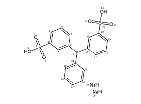 O=S(=O)(O)c1cccc(P(c2ccccc2)c2cccc(S(=O)(=O)O)c2)c1.[NaH].[NaH]